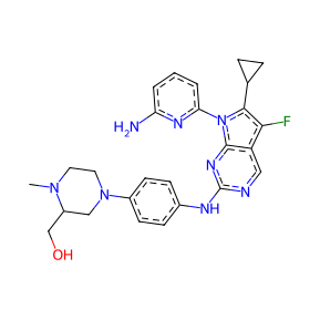 CN1CCN(c2ccc(Nc3ncc4c(F)c(C5CC5)n(-c5cccc(N)n5)c4n3)cc2)CC1CO